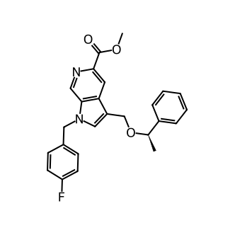 COC(=O)c1cc2c(CO[C@H](C)c3ccccc3)cn(Cc3ccc(F)cc3)c2cn1